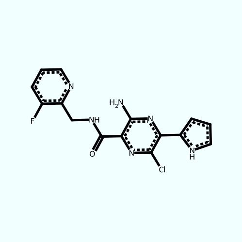 Nc1nc(-c2ccc[nH]2)c(Cl)nc1C(=O)NCc1ncccc1F